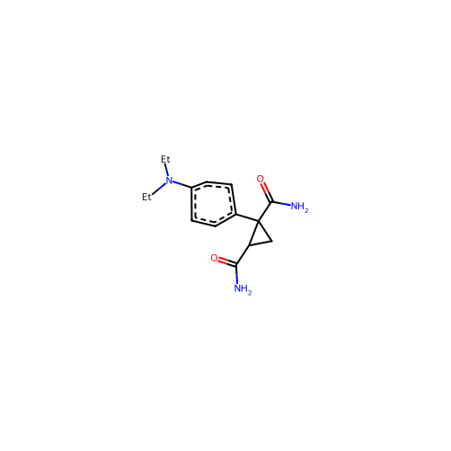 CCN(CC)c1ccc(C2(C(N)=O)CC2C(N)=O)cc1